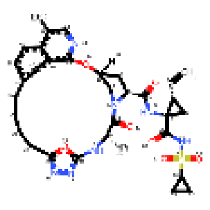 C=C[C@@H]1C[C@]1(NC(=O)[C@@H]1C[C@@H]2CN1C(=O)[C@H](C(C)C)Nc1nnc(o1)CCCCc1ccc3c(CC)cnc(c3c1)O2)C(=O)NS(=O)(=O)C1CC1